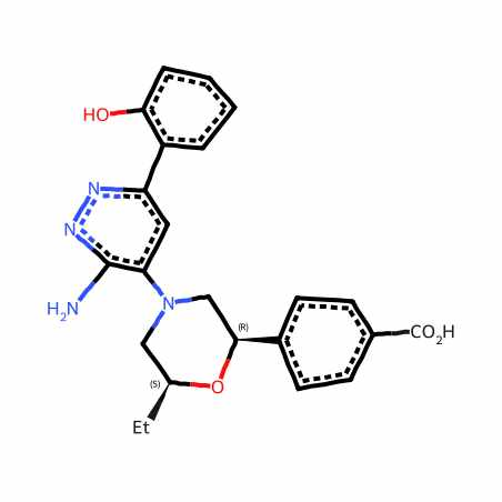 CC[C@H]1CN(c2cc(-c3ccccc3O)nnc2N)C[C@@H](c2ccc(C(=O)O)cc2)O1